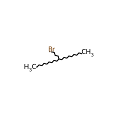 CCCCCCCCCCC(CCC[CH]Br)CCCCCCCCCC